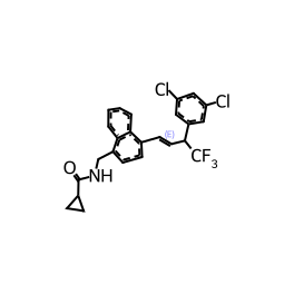 O=C(NCc1ccc(/C=C/C(c2cc(Cl)cc(Cl)c2)C(F)(F)F)c2ccccc12)C1CC1